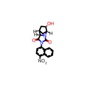 O=C1[C@@H]2[C@@H]3C[C@@H](O)[C@@H](C3)N2C(=O)N1c1ccc([N+](=O)[O-])c2ccccc12